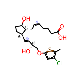 Cc1sc(OC[C@H](O)/C=C/[C@H]2CCC(O)[C@@H]2C/C=C\CCCC(=O)O)cc1Cl